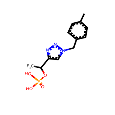 Cc1ccc(Cn2cc(C(OP(=O)(O)O)C(F)(F)F)nn2)cc1